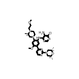 COCCN1CCN(c2cc(OC)c(-c3ccnc(N4C[C@@H](C)O[C@@H](C)C4)n3)cc2Nc2ncnc(Cl)c2N)C[C@H]1C